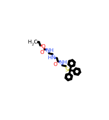 C=CCOC(=O)NCCNCC(=O)NCCSC(c1ccccc1)(c1ccccc1)c1ccccc1